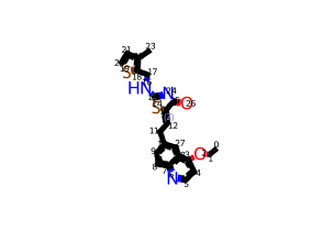 CCOc1ccnc2ccc(C/C=C3\SC(NCc4sccc4C)=NC3=O)cc12